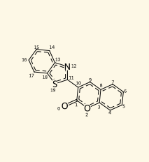 O=c1oc2ccccc2cc1-c1nc2ccccc2s1